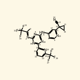 C/C(=N\c1nc(Nc2ccnc(C3(C#N)CC3)c2)nc(-c2cccc(C(F)(F)F)n2)n1)C(F)(F)F